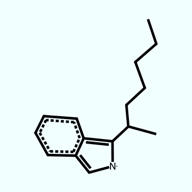 CCCCCC(C)C1=c2ccccc2=C[N]1